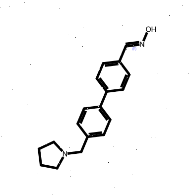 O/N=C/c1ccc(-c2ccc(CN3CCCC3)cc2)cc1